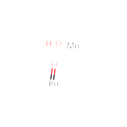 O.[Mn].[O]=[Ru]